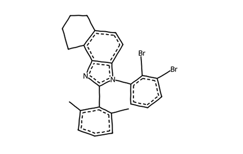 Cc1cccc(C)c1-c1nc2c3c(ccc2n1-c1cccc(Br)c1Br)CCCC3